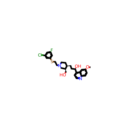 COc1ccc2nccc([C@H](O)CC[C@@H]3CCN(CCSc4cc(F)cc(Cl)c4)C[C@@H]3CO)c2c1